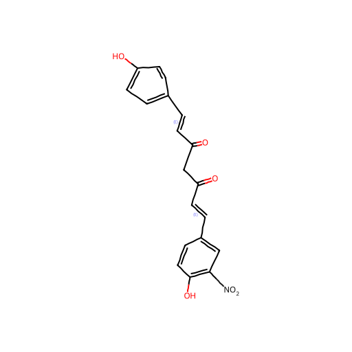 O=C(/C=C/c1ccc(O)cc1)CC(=O)/C=C/c1ccc(O)c([N+](=O)[O-])c1